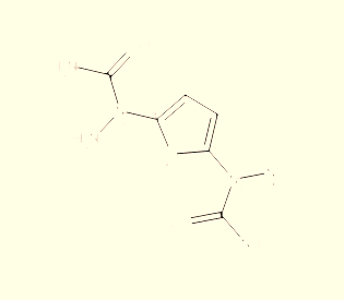 NC(=O)N(N)c1ccc(N(N)C(N)=O)s1